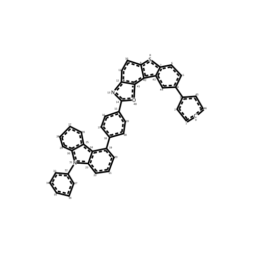 c1ccc(-c2ccc3sc4ccc5nc(-c6ccc(-c7cccc8c7c7ccccc7n8-c7ccccc7)cc6)oc5c4c3c2)cc1